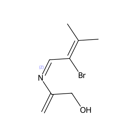 C=C(CO)/N=C\C(Br)=C(C)C